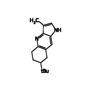 Cc1c[nH]c2cc3c(nc12)CCC(C(C)(C)C)C3